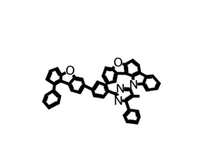 Cc1c(-c2ccccc2)nc(-c2ccc(-c3ccc4c(c3)oc3cccc(-c5ccccc5)c34)cc2)nc1-n1c2ccccc2c2ccc3oc4ccccc4c3c21